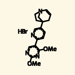 Br.COc1ncc(-c2ccc(C34CC=CN(CC3)C4)cn2)c(OC)n1